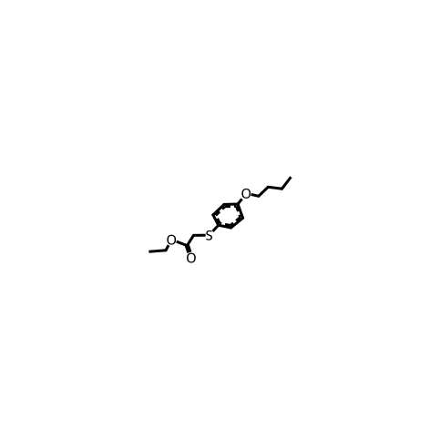 CCCCOc1ccc(SCC(=O)OCC)cc1